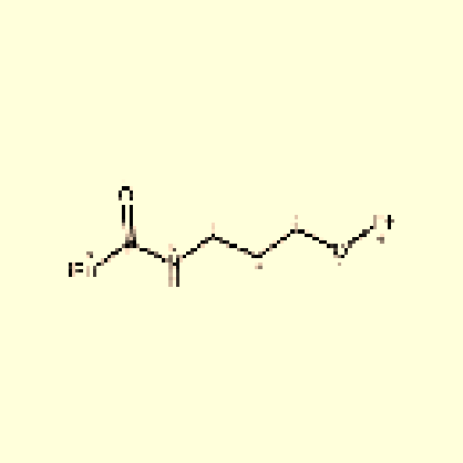 CCOCCCNC(=O)C(C)CC